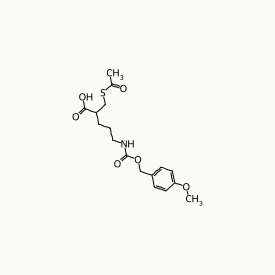 COc1ccc(COC(=O)NCCCC(CSC(C)=O)C(=O)O)cc1